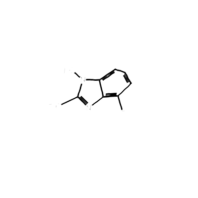 Cn1c(C(F)(F)F)nc2c(F)cccc21